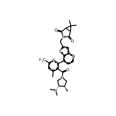 Cc1cc(C(F)(F)F)nc(-c2ccnc3cc(CN4C(=O)C5C(C4=O)C5(C)C)sc23)c1C(=O)N1C[C@@H](C)[C@H](N(C)C)C1